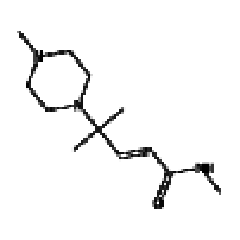 CNC(=O)C=CC(C)(C)N1CCN(C)CC1